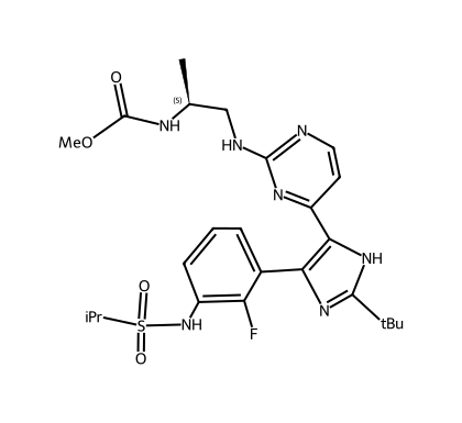 COC(=O)N[C@@H](C)CNc1nccc(-c2[nH]c(C(C)(C)C)nc2-c2cccc(NS(=O)(=O)C(C)C)c2F)n1